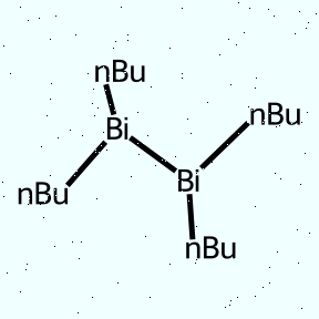 CCC[CH2][Bi]([CH2]CCC)[Bi]([CH2]CCC)[CH2]CCC